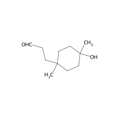 CC1(O)CCC(C)(CCC=O)CC1